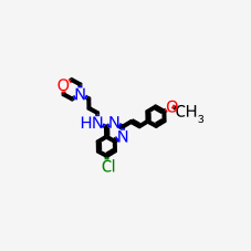 COc1ccc(C=Cc2nc(NCCCN3CCOCC3)c3ccc(Cl)cc3n2)cc1